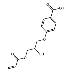 C=CC(=O)OCC(O)COc1ccc(C(=O)O)cc1